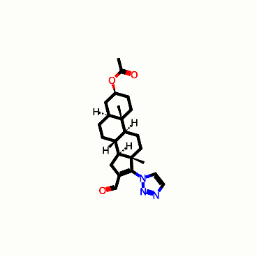 CC(=O)O[C@H]1CC[C@@]2(C)[C@@H](CC[C@@H]3[C@@H]2CC[C@]2(C)C(n4ccnn4)=C(C=O)C[C@@H]32)C1